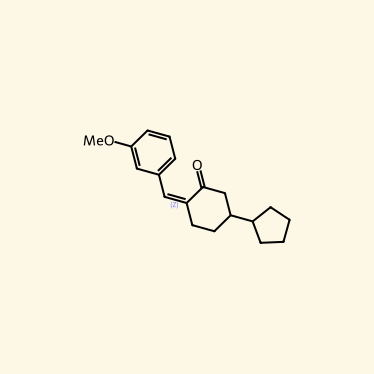 COc1cccc(/C=C2/CCC(C3CCCC3)CC2=O)c1